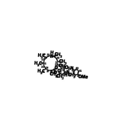 COc1ccc(/N=C2/O[C@H]3[C@H](OC4OC(=O)C(C)CC(C)CC(C)CC(C)CNC(C)CC4C)O[C@H](C)C[C@@H]3N2C)cc1